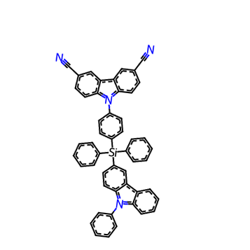 N#Cc1ccc2c(c1)c1cc(C#N)ccc1n2-c1ccc([Si](c2ccccc2)(c2ccccc2)c2ccc3c(c2)c2ccccc2n3-c2ccccc2)cc1